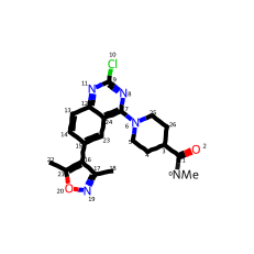 CNC(=O)C1CCN(c2nc(Cl)nc3ccc(-c4c(C)noc4C)cc23)CC1